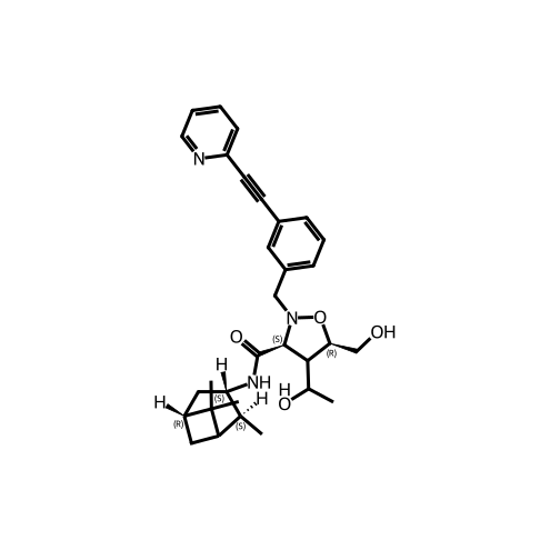 CC(O)C1[C@H](CO)ON(Cc2cccc(C#Cc3ccccn3)c2)[C@@H]1C(=O)N[C@H]1C[C@H]2CC([C@@H]1C)C2(C)C